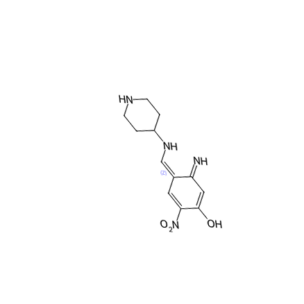 N=C1C=C(O)C([N+](=O)[O-])=C/C1=C/NC1CCNCC1